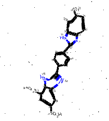 O=S(=O)(O)c1cc(S(=O)(=O)O)c2[nH]c(-c3ccc(-c4nc5ccc(S(=O)(=O)O)cc5[nH]4)cc3)nc2c1